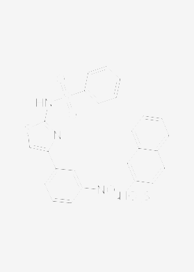 O=S(=O)(O)c1ccc2ccccc2c1.O=[N+]([O-])c1cccc(-c2csc(NS(=O)(=O)c3ccccc3)n2)c1